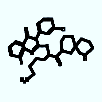 Cc1cccc2c(=O)n(-c3cccc(Cl)c3)c(SC(CCCCN)C(=O)N3CCCC4(CCCNC4)C3)nc12